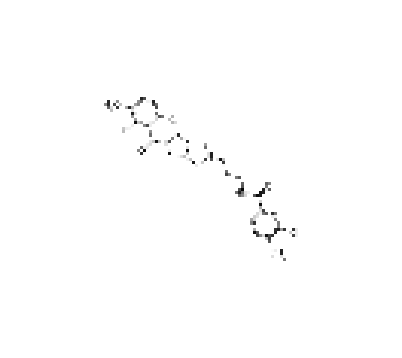 Cc1ccc(C(=O)NCCCN2CC3CN(C(=O)c4c(Cl)ccc(C)c4F)CC3C2)cc1Cl